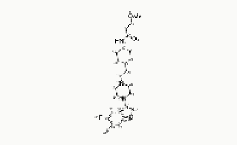 COCCC(=O)NC1CCC(CCN2CCN(c3noc4cc(F)c(F)cc34)CC2)CC1